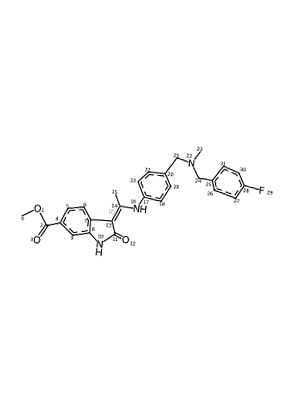 COC(=O)c1ccc2c(c1)NC(=O)/C2=C(/C)Nc1ccc(CN(C)Cc2ccc(F)cc2)cc1